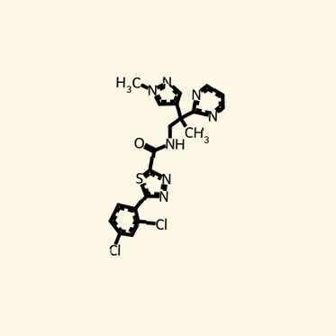 Cn1cc(C(C)(CNC(=O)c2nnc(-c3ccc(Cl)cc3Cl)s2)c2ncccn2)cn1